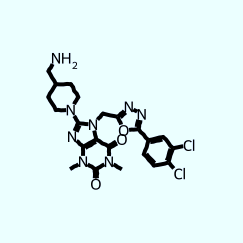 Cn1c(=O)c2c(nc(N3CCC(CN)CC3)n2Cc2nnc(-c3ccc(Cl)c(Cl)c3)o2)n(C)c1=O